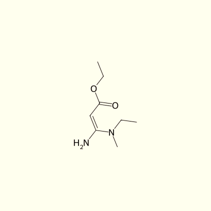 CCOC(=O)C=C(N)N(C)CC